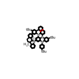 CC(C)(C)c1ccc(N2c3ccc(C(C)(C)C)cc3B3c4ccccc4N(c4ccc(C(C)(C)C)cc4-c4ccccc4)c4cc(N5c6ccccc6C6(C)CCc7ccccc7C56C)cc2c43)cc1